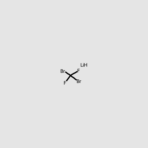 FC(F)(Br)Br.[LiH]